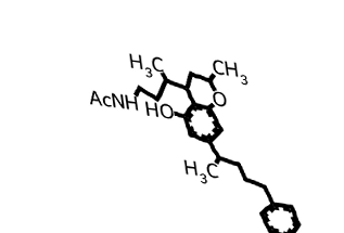 CC(=O)NCCC(C)C1CC(C)Oc2cc(C(C)CCCc3ccccc3)cc(O)c21